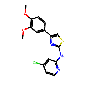 COc1ccc(-c2csc(Nc3cc(Cl)ccn3)n2)cc1OC